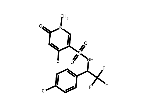 Cn1cc(S(=O)(=O)NC(c2ccc(Cl)cc2)C(F)(F)F)c(F)cc1=O